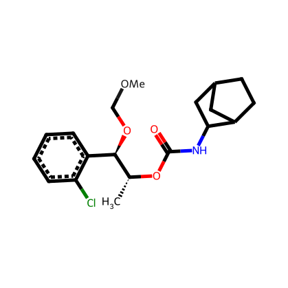 COCO[C@H](c1ccccc1Cl)[C@@H](C)OC(=O)NC1CC2CCC1C2